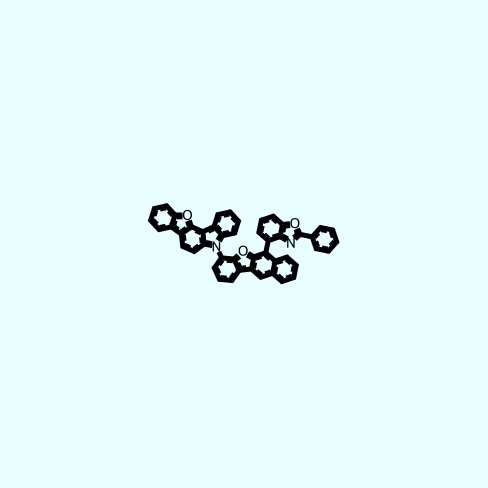 c1ccc(-c2nc3c(-c4c5ccccc5cc5c4oc4c(-n6c7ccccc7c7c8oc9ccccc9c8ccc76)cccc45)cccc3o2)cc1